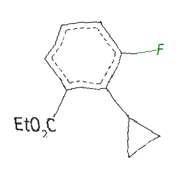 CCOC(=O)c1cccc(F)c1C1CC1